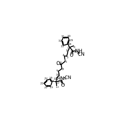 CC(CCCCC(=O)CCCCC(C)(C(=O)NC#N)c1ccccc1)(C(=O)NC#N)c1ccccc1